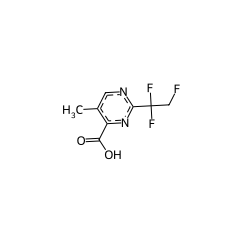 Cc1cnc(C(F)(F)CF)nc1C(=O)O